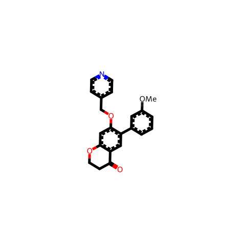 COc1cccc(-c2cc3c(cc2OCc2ccncc2)OCCC3=O)c1